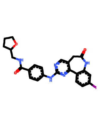 O=C1Cc2cnc(Nc3ccc(C(=O)NCC4CCCO4)cc3)nc2-c2ccc(I)cc2N1